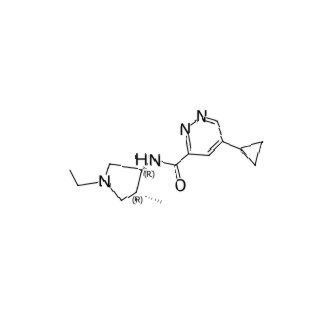 CCN1C[C@@H](C)[C@@H](NC(=O)c2cc(C3CC3)cnn2)C1